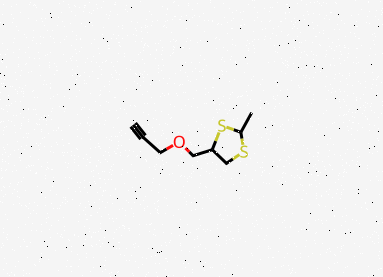 C#CCOCC1CSC(C)S1